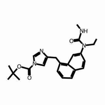 CCN(C(=O)NC)c1ccc2cccc(Cc3cn(C(=O)OC(C)(C)C)cn3)c2c1